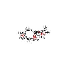 COC1=CC(C)=CC(C)C(O)C(C)CC(C)=CC=CC(OC)C(C(C)C(O)C(C)C(=O)C=CC(C)C(O)C(C)C)OC1=O